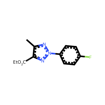 CCOC(=O)c1nn(-c2ccc(F)cc2)nc1C